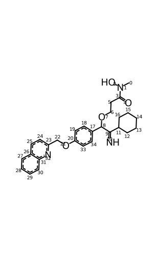 CN(O)C(=O)CCOC(C(=N)C1CCCCC1)c1ccc(OCc2ccc3ccccc3n2)cc1